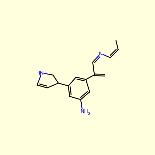 C=C(/C=N\C=C/C)c1cc(N)cc(C2C=CNC2)c1